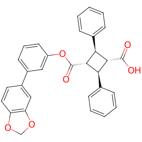 O=C(O)[C@@H]1[C@@H](c2ccccc2)[C@H](C(=O)Oc2cccc(-c3ccc4c(c3)OCO4)c2)[C@H]1c1ccccc1